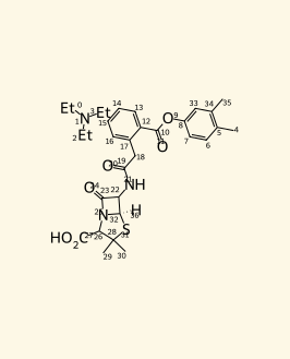 CCN(CC)CC.Cc1ccc(OC(=O)c2ccccc2CC(=O)NC2C(=O)N3C(C(=O)O)C(C)(C)S[C@H]23)cc1C